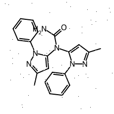 Cc1cc(N(C(N)=O)c2cc(C)nn2-c2ccccc2)n(-c2ccccc2)n1